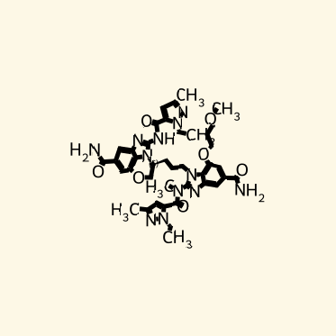 CCn1nc(C)cc1C(=O)Nc1nc2cc(C(N)=O)cc3c2n1[C@@H](CCCn1c(N(C)C(=O)c2cc(C)nn2CC)nc2cc(C(N)=O)cc(OCCCOC)c21)CO3